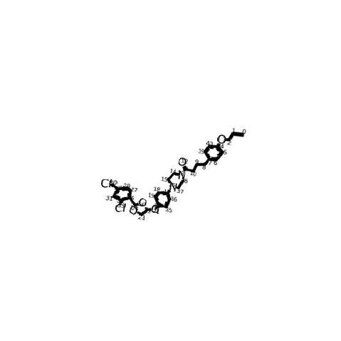 C=CCOc1ccc(CCCC(=O)N2CCN(c3ccc(OC4COC(c5ccc(Cl)cc5Cl)O4)cc3)CC2)cc1